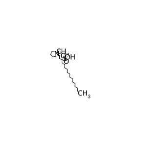 CCCCCCCCCCCCCCC(CC[N+]1(C)CCCCC1)S(=O)(=O)O